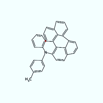 Cc1ccc(N(c2ccccc2)c2ccc3cccc4c5cccc6cccc(c2c34)c65)cc1